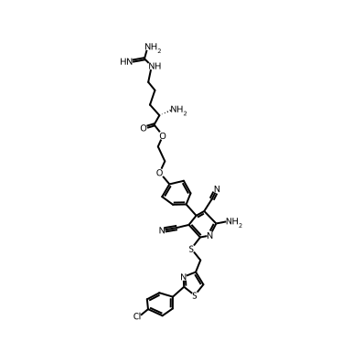 N#Cc1c(N)nc(SCc2csc(-c3ccc(Cl)cc3)n2)c(C#N)c1-c1ccc(OCCOC(=O)[C@@H](N)CCCNC(=N)N)cc1